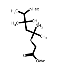 CCCCCCC(C)C(C)(C)CC(C)(N)SCC(=O)OC